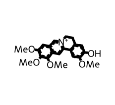 COc1cc2c(cc1O)CC[n+]1cc3cc(OC)c(OC)c(OC)c3cc1-2